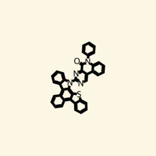 O=c1c2nc(-n3c4ccccc4c4c5ccccc5c5c6ccccc6sc5c43)ncc2c2ccccc2n1-c1ccccc1